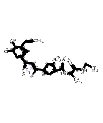 C=Cc1cc(C(/C=C(\F)c2ccc(C(=O)NC(C)C(=O)NCC(F)(F)F)c(C(F)(F)F)c2)C(F)(F)F)cc(Cl)c1Cl